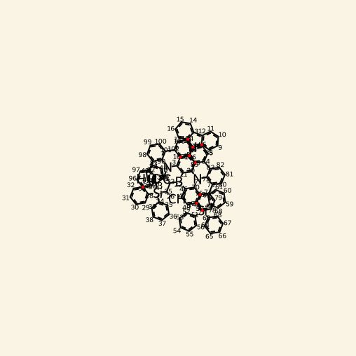 C=CN(c1cc(-n2c3ccccc3c3ccccc32)cc2c1B([C@H](C)C(C)[Si](c1ccccc1)(c1ccccc1)c1ccccc1)c1ccc([Si](c3ccccc3)(c3ccccc3)c3ccccc3)cc1N2c1c(-c2ccccc2)cccc1-c1ccccc1)c1c(-c2ccccc2)cccc1-c1ccccc1